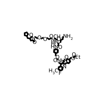 CCC(=O)OCc1ccc2n(c1=O)Cc1c-2nc2cc(F)c(C)cc2c1CNC(=O)OCc1ccc(NC(=O)[C@H](CCCCN)NC(=O)[C@H](C)NC(=O)CCOCCOCCN2C(=O)CC(CC3CCCC3)C2=O)cc1